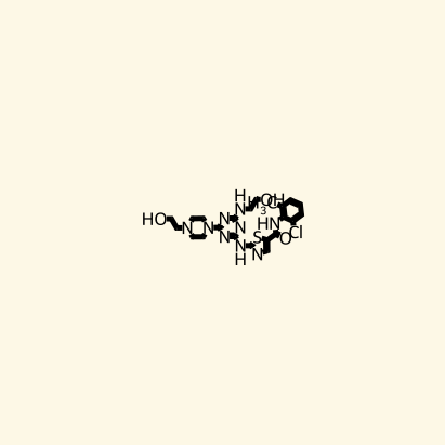 Cc1cccc(Cl)c1NC(=O)c1cnc(Nc2nc(NCCO)nc(N3CCN(CCO)CC3)n2)s1